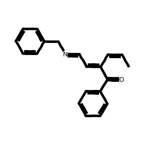 C\C=C/C(=C\C=N\Cc1ccccc1)C(=O)c1ccccc1